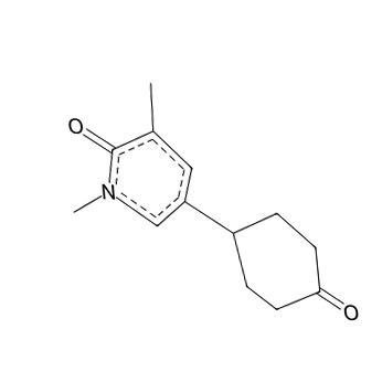 Cc1cc(C2CCC(=O)CC2)cn(C)c1=O